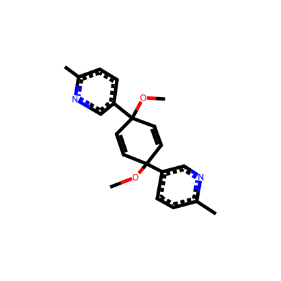 COC1(c2ccc(C)nc2)C=CC(OC)(c2ccc(C)nc2)C=C1